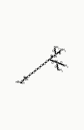 CCCCC(C)(CC)SCCNC(=O)CCOCCOCCOCCOCCOCCOCCOCCOCCN(CCC(=O)NCCN(CCC(=O)CCN)CCC(=O)CCN)CCC(=O)NCCN(CCC(=O)CCN)CCC(=O)CCN